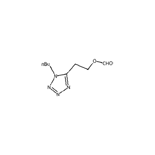 CCCCn1nnnc1CCO[C]=O